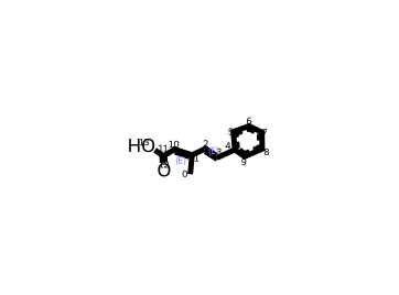 CC(/C=C/c1ccccc1)=C\C(=O)O